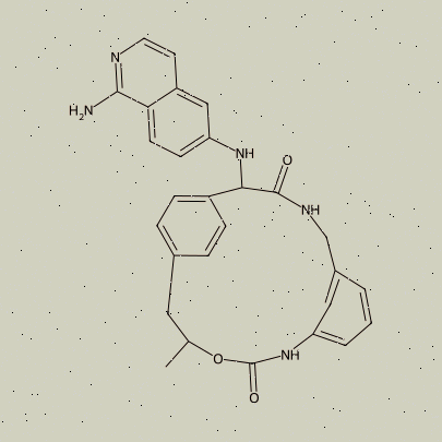 CC1Cc2ccc(cc2)C(Nc2ccc3c(N)nccc3c2)C(=O)NCc2cccc(c2)NC(=O)O1